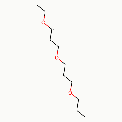 CCCOCCCOCC[CH]OCC